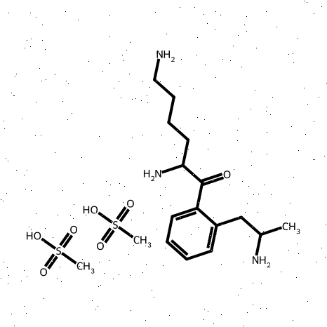 CC(N)Cc1ccccc1C(=O)C(N)CCCCN.CS(=O)(=O)O.CS(=O)(=O)O